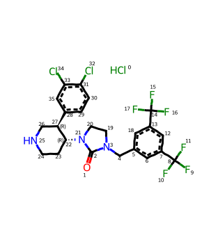 Cl.O=C1N(Cc2cc(C(F)(F)F)cc(C(F)(F)F)c2)CCN1[C@@H]1CCNC[C@H]1c1ccc(Cl)c(Cl)c1